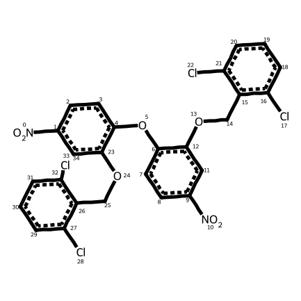 O=[N+]([O-])c1ccc(Oc2ccc([N+](=O)[O-])cc2OCc2c(Cl)cccc2Cl)c(OCc2c(Cl)cccc2Cl)c1